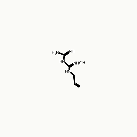 C=CCNC(=N)NC(=N)N.Cl